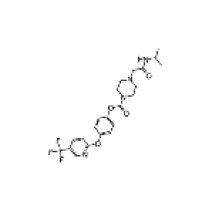 CC(C)NC(=O)CN1CCN(C(=O)Oc2ccc(Oc3ccc(C(F)(F)F)cn3)cc2)CC1